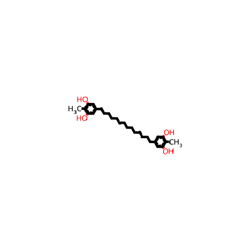 Cc1c(O)cc(CCCCCCCCCCCCCCc2cc(O)c(C)c(O)c2)cc1O